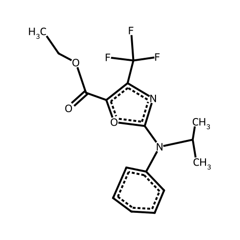 CCOC(=O)c1oc(N(c2ccccc2)C(C)C)nc1C(F)(F)F